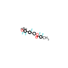 CCCCOc1ccc(-c2ccc(C3CCC(OC(=O)c4ccc(C)c(F)c4F)CC3)c(F)c2)c(F)c1F